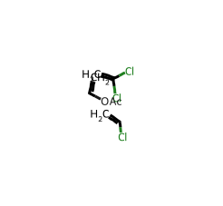 C=C(Cl)Cl.C=CCl.C=COC(C)=O